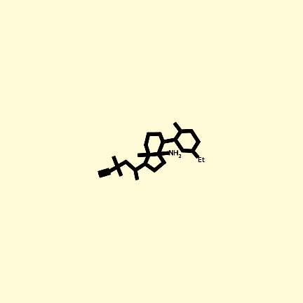 C#CC(C)(C)CC(C)C1CCC2(N)C(C3CC(CC)CCC3C)CCCC12C